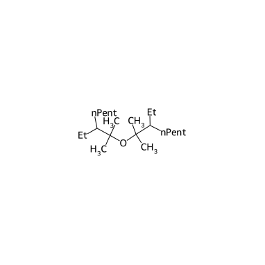 CCCCCC(CC)C(C)(C)OC(C)(C)C(CC)CCCCC